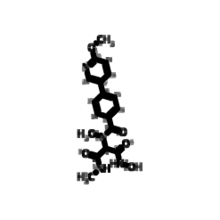 CNC(=O)C(C(=O)NO)N(C)C(=O)c1ccc(-c2ccc(OC)nc2)cc1